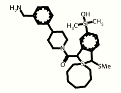 CSC1c2ccc([Si](C)(C)O)cc2C(C(=O)N2CCC(c3cccc(CN)c3)CC2)S12CCCCCCC2